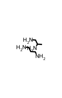 CC(N)CN.NCCCN